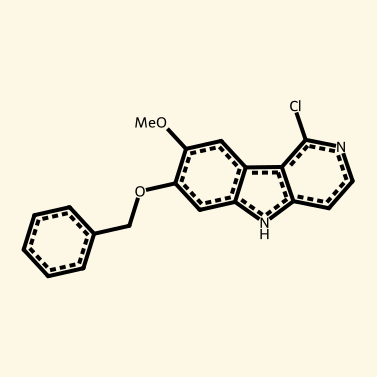 COc1cc2c(cc1OCc1ccccc1)[nH]c1ccnc(Cl)c12